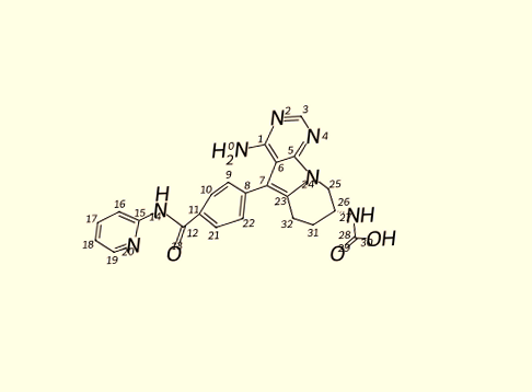 Nc1ncnc2c1c(-c1ccc(C(=O)Nc3ccccn3)cc1)c1n2C[C@H](NC(=O)O)CC1